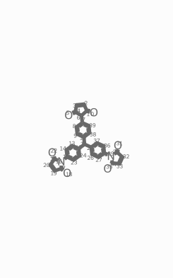 O=C1C=CC(=O)C1c1ccc(C(c2ccc(N3C(=O)C=CC3=O)cc2)c2ccc(N3C(=O)C=CC3=O)cc2)cc1